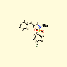 CC[C@@H](C)N(CC=Cc1ccccc1)S(=O)(=O)c1ccc(Cl)cc1